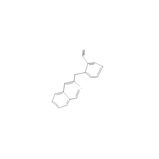 C=Cc1ccccc1Cc1cc2ccccc2cn1